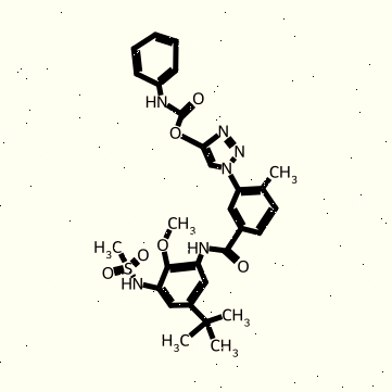 COc1c(NC(=O)c2ccc(C)c(-n3cc(OC(=O)Nc4ccccc4)nn3)c2)cc(C(C)(C)C)cc1NS(C)(=O)=O